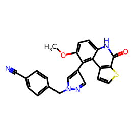 COc1ccc2[nH]c(=O)c3sccc3c2c1-c1cnn(Cc2ccc(C#N)cc2)c1